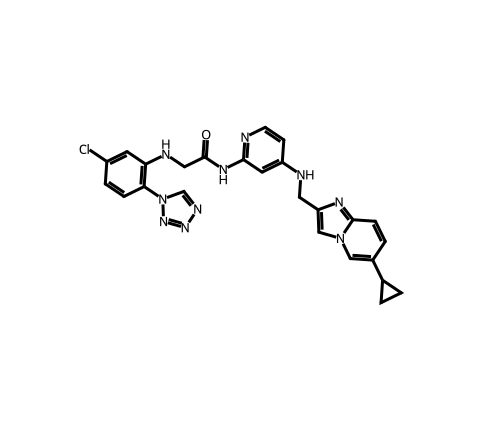 O=C(CNc1cc(Cl)ccc1-n1cnnn1)Nc1cc(NCc2cn3cc(C4CC4)ccc3n2)ccn1